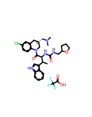 CC(c1c[nH]c2ccccc12)C(NC(=O)NCC1CCCO1)C(=O)N1C[C@@H](CN(C)C)Cc2cc(Cl)ccc21.O=C(O)C(F)(F)F